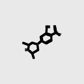 CC1CN(c2ccc([N+](=O)[O-])c(O)c2)CC(C)N1